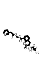 CCC(F)(F)C(=O)N[C@H]1Cc2cccc(C(=O)OCOC(=O)Cc3cccnc3)c2OB1O